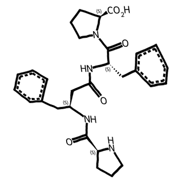 O=C(C[C@H](Cc1ccccc1)NC(=O)[C@@H]1CCCN1)N[C@@H](Cc1ccccc1)C(=O)N1CCC[C@H]1C(=O)O